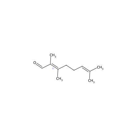 CC(C)=CCC/C(C)=C(\C)C=O